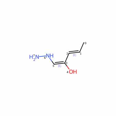 C/C=C/C(O)=C\NN